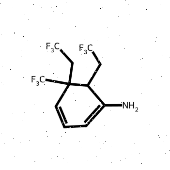 NC1=CC=CC(CC(F)(F)F)(C(F)(F)F)C1CC(F)(F)F